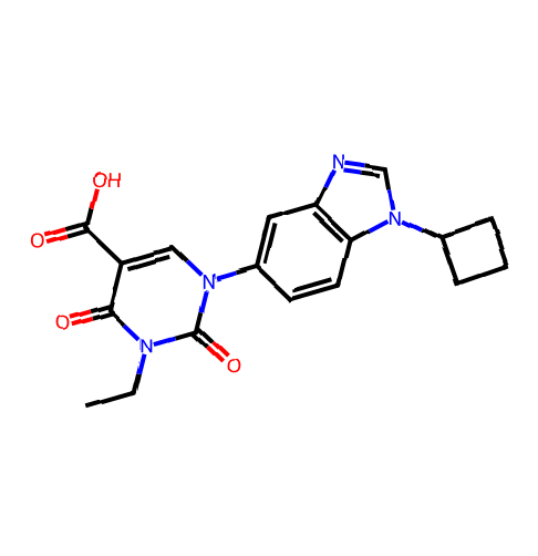 CCn1c(=O)c(C(=O)O)cn(-c2ccc3c(c2)ncn3C2CCC2)c1=O